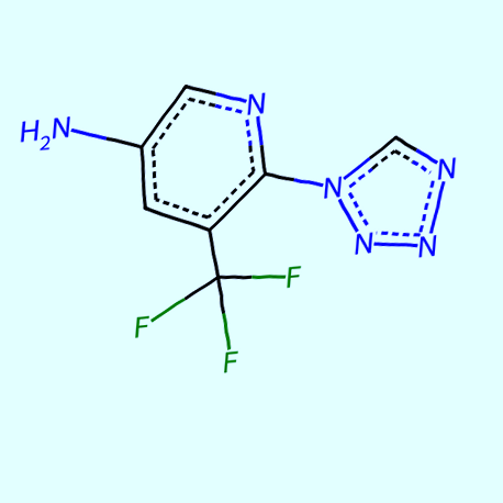 Nc1cnc(-n2cnnn2)c(C(F)(F)F)c1